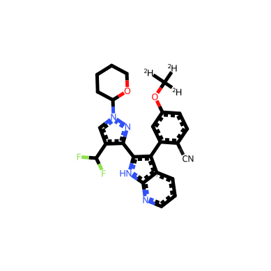 [2H]C([2H])([2H])Oc1ccc(C#N)c(-c2c(-c3nn(C4CCCCO4)cc3C(F)F)[nH]c3ncccc23)c1